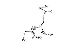 O=C(O)CC[C@H](NC(=O)CO)C(=O)O